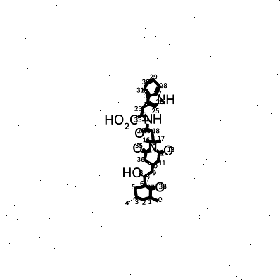 CC1C[C@H](C)CC([C@H](O)CC2CC(=O)N(C(C)(C)CC(=O)NC(Cc3c[nH]c4ccccc34)C(=O)O)C(=O)C2)C1=O